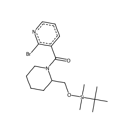 CC(C)(C)[Si](C)(C)OCC1CCCCN1C(=O)c1cccnc1Br